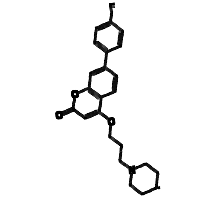 O=c1cc(OCCCN2CC[CH]CC2)c2ccc(-c3ccc(F)cc3)cc2o1